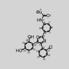 CCC(C)C(=O)Nc1cccc(-c2nc(-c3ccccc3Cl)c(-c3ccc(O)cc3O)o2)c1